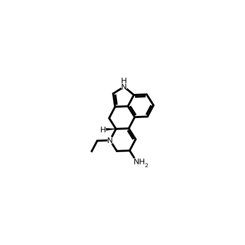 CCN1CC(N)C=C2c3cccc4[nH]cc(c34)C[C@H]21